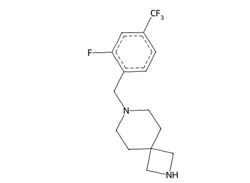 Fc1cc(C(F)(F)F)ccc1CN1CCC2(CC1)CNC2